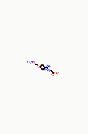 N=C(NCC(=O)O)c1ccc(OCCON)cc1